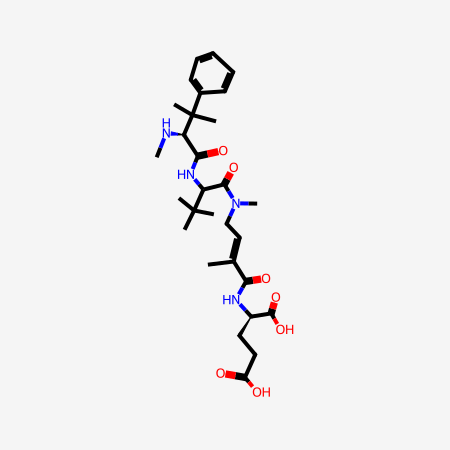 CN[C@H](C(=O)NC(C(=O)N(C)C/C=C(\C)C(=O)N[C@H](CCC(=O)O)C(=O)O)C(C)(C)C)C(C)(C)c1ccccc1